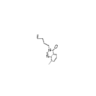 C=CCCCn1cnc2c(C)cccc2c1=O